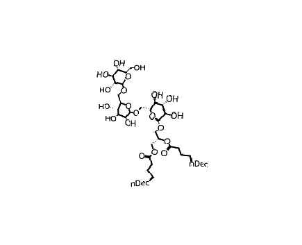 CCCCCCCCCCCCCC(=O)OC[C@H](CO[C@@H]1O[C@H](CO[C@@H]2O[C@H](CO[C@@H]3O[C@H](CO)[C@@H](O)[C@H](O)[C@H]3O)[C@@H](O)[C@H](O)[C@H]2O)[C@@H](O)[C@H](O)[C@H]1O)OC(=O)CCCCCCCCCCCCC